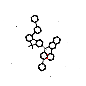 CC1(C)c2cc(N(c3ccc(-c4ccccc4)cc3)c3cc4ccccc4cc3-c3ccccc3)ccc2-c2c(-c3cccc(-c4ccccc4)c3)cccc21